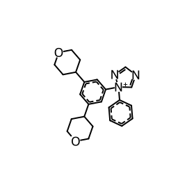 C1=NC=N[N+]1(c1ccccc1)c1cc(C2CCOCC2)cc(C2CCOCC2)c1